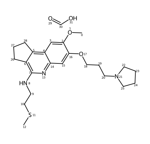 COc1cc2c3c(c(NCCSC)nc2cc1OCCCN1CCCC1)CCC3.O=CO